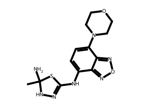 CC1(N)NN=C(Nc2ccc(N3CCOCC3)c3nonc23)S1